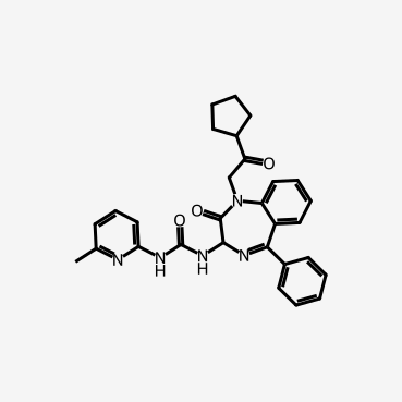 Cc1cccc(NC(=O)NC2N=C(c3ccccc3)c3ccccc3N(CC(=O)C3CCCC3)C2=O)n1